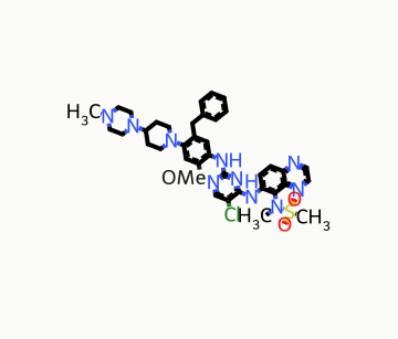 COc1cc(N2CCC(N3CCN(C)CC3)CC2)c(Cc2ccccc2)cc1Nc1ncc(Cl)c(Nc2ccc3nccnc3c2N(C)S(C)(=O)=O)n1